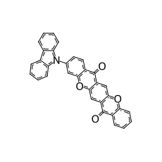 O=c1c2ccccc2oc2cc3c(=O)c4ccc(-n5c6ccccc6c6ccccc65)cc4oc3cc12